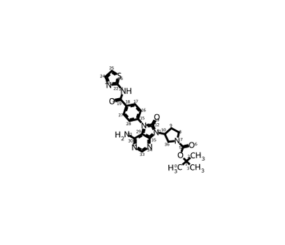 CC(C)(C)OC(=O)N1CCC(n2c(=O)n(-c3ccc(C(=O)Nc4nccs4)cc3)c3c(N)ncnc32)C1